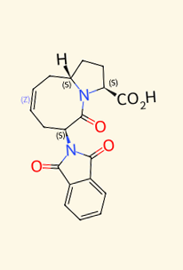 O=C(O)[C@@H]1CC[C@H]2C/C=C\C[C@H](N3C(=O)c4ccccc4C3=O)C(=O)N21